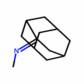 C/N=C1\CC2CC3CC(C2)CC1C3